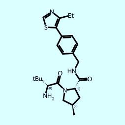 CCc1ncsc1-c1ccc(CNC(=O)[C@@H]2C[C@@H](C)CN2C(=O)[C@H](N)C(C)(C)C)cc1